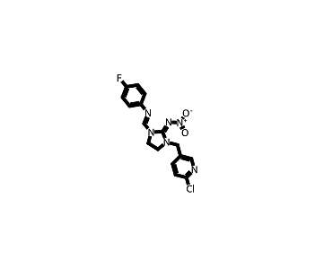 O=[N+]([O-])N=C1N(C=Nc2ccc(F)cc2)CCN1Cc1ccc(Cl)nc1